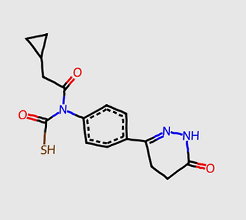 O=C1CCC(c2ccc(N(C(=O)S)C(=O)CC3CC3)cc2)=NN1